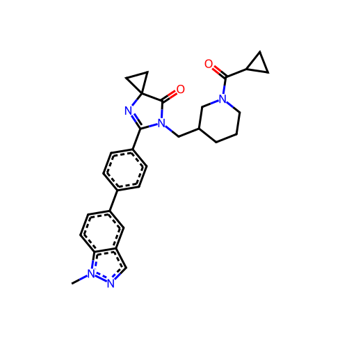 Cn1ncc2cc(-c3ccc(C4=NC5(CC5)C(=O)N4CC4CCCN(C(=O)C5CC5)C4)cc3)ccc21